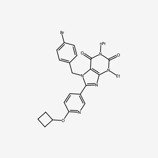 CCCn1c(=O)c2c(nc(-c3ccc(OC4CCC4)nc3)n2Cc2ccc(Br)cc2)n(CC)c1=O